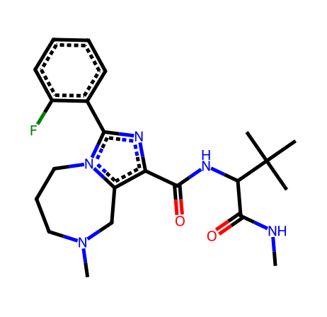 CNC(=O)C(NC(=O)c1nc(-c2ccccc2F)n2c1CN(C)CCC2)C(C)(C)C